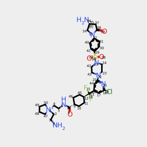 NCC[N+]1(CCNC(=O)[C@H]2CC[C@H](C(F)(F)c3cc(Cl)nc(N4CCN(S(=O)(=O)c5ccc(N6C[C@H](N)CC6=O)cc5)CC4)c3)CC2)CCCC1